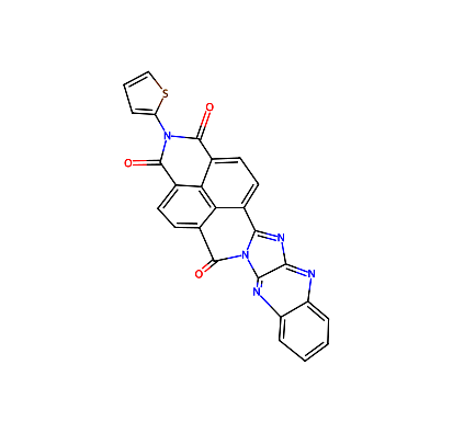 O=C1c2ccc3c(=O)n4c5nc6ccccc6nc5nc4c4ccc(c2c34)C(=O)N1c1cccs1